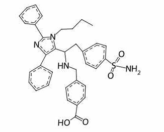 CCCCn1c(-c2ccccc2)nc(-c2ccccc2)c1C(Cc1ccc(S(N)(=O)=O)cc1)NCc1ccc(C(=O)O)cc1